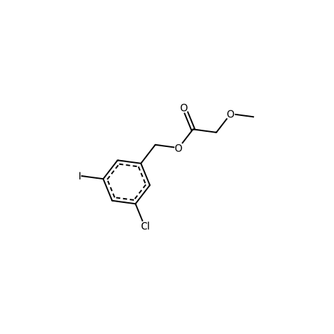 COCC(=O)OCc1cc(Cl)cc(I)c1